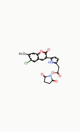 CC(=O)Oc1cc2oc(=O)c(-c3ccc(CC(=O)ON4C(=O)CCC4=O)[nH]3)cc2cc1Cl